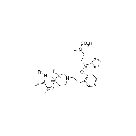 CC(C)N1C[C@]2(CCN(CCc3ccccc3O[C@H](CCN(C)C(=O)O)c3cccs3)C[C@@H]2F)O[C@H](C)C1=O